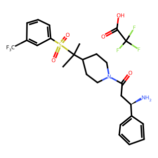 CC(C)(C1CCN(C(=O)C[C@@H](N)c2ccccc2)CC1)S(=O)(=O)c1cccc(C(F)(F)F)c1.O=C(O)C(F)(F)F